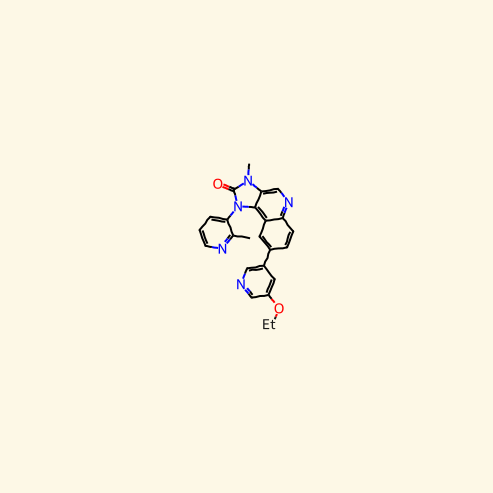 CCOc1cncc(-c2ccc3ncc4c(c3c2)n(-c2cccnc2C)c(=O)n4C)c1